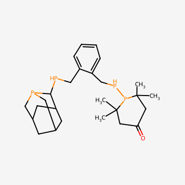 CC1(C)CC(=O)CC(C)(C)P1PCc1ccccc1CPC1C2CC3CC(C2)CP1C3